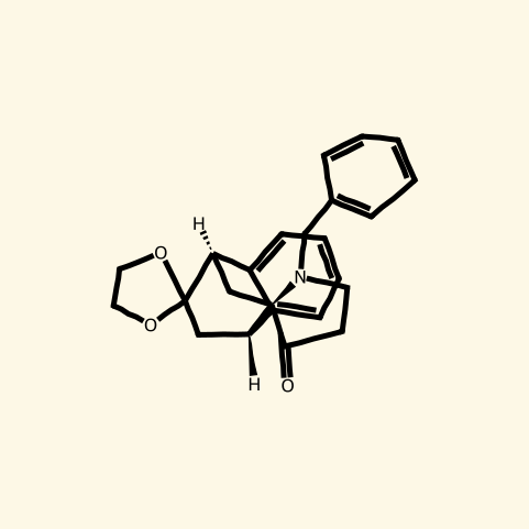 O=C1CCN(Cc2ccccc2)[C@@]12C[C@@H]1c3ccccc3[C@H]2CC12OCCO2